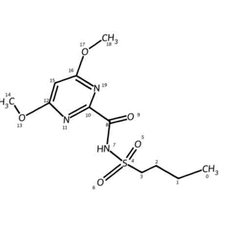 CCCCS(=O)(=O)NC(=O)c1nc(OC)cc(OC)n1